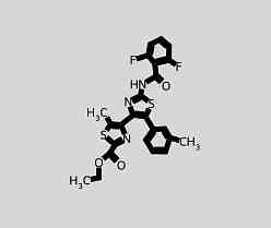 CCOC(=O)c1nc(-c2nc(NC(=O)c3c(F)cccc3F)sc2-c2cccc(C)c2)c(C)s1